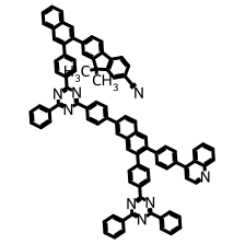 CC1(C)c2cc(C#N)ccc2-c2ccc(-c3cc4ccccc4cc3-c3ccc(-c4nc(-c5ccccc5)nc(-c5ccc(-c6ccc7cc(-c8ccc(-c9ccnc%10ccccc9%10)cc8)c(-c8ccc(-c9nc(-c%10ccccc%10)nc(-c%10ccccc%10)n9)cc8)cc7c6)cc5)n4)cc3)cc21